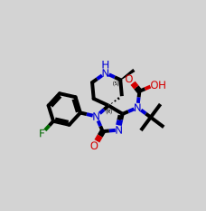 C[C@H]1C[C@]2(CCN1)C(N(C(=O)O)C(C)(C)C)=NC(=O)N2c1cccc(F)c1